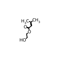 CC(C)=CC(=O)OCCO